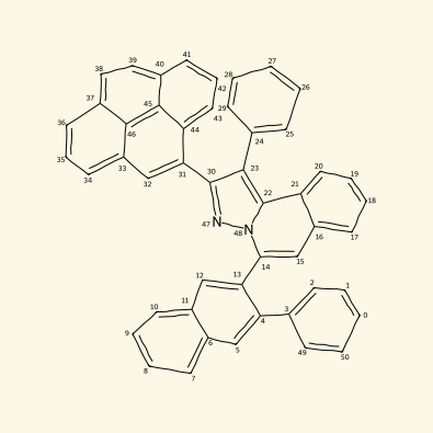 c1ccc(-c2cc3ccccc3cc2-c2cc3ccccc3c3c(-c4ccccc4)c(-c4cc5cccc6ccc7cccc4c7c65)nn23)cc1